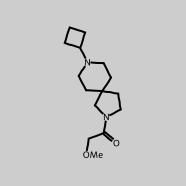 COCC(=O)N1CCC2(CCN(C3CCC3)CC2)C1